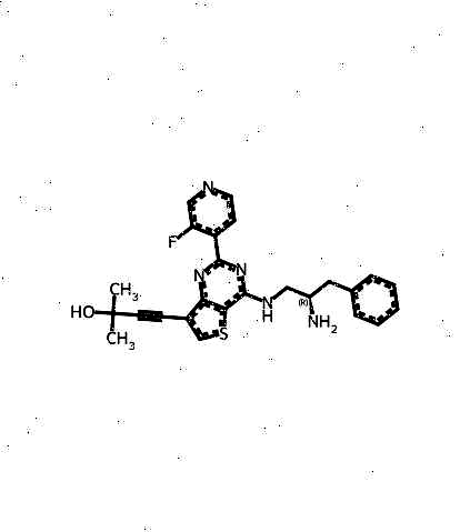 CC(C)(O)C#Cc1csc2c(NC[C@H](N)Cc3ccccc3)nc(-c3ccncc3F)nc12